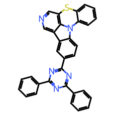 c1ccc(-c2nc(-c3ccccc3)nc(-c3ccc4c(c3)c3cncc5c3n4-c3ccccc3S5)n2)cc1